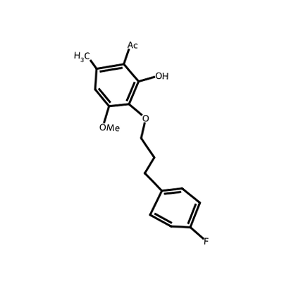 COc1cc(C)c(C(C)=O)c(O)c1OCCCc1ccc(F)cc1